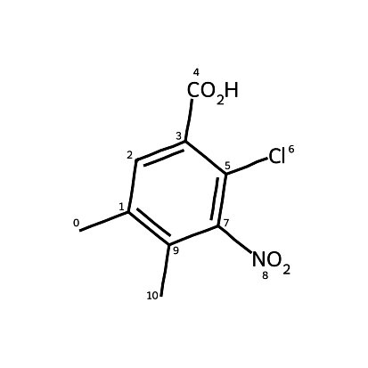 Cc1cc(C(=O)O)c(Cl)c([N+](=O)[O-])c1C